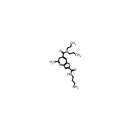 CCCN(CCC)C(=O)C1=Cc2sc(C(=O)NCCCN)cc2N=C(N)C1